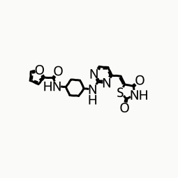 O=C1NC(=O)C(=Cc2ccnc(NC3CCC(NC(=O)c4ccco4)CC3)n2)S1